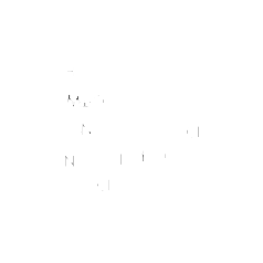 COc1cccc(C(C)O)c1C(O)c1c(C)nc2ccc(Br)cn12